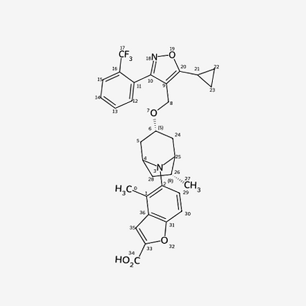 Cc1c(N2C3C[C@H](OCc4c(-c5ccccc5C(F)(F)F)noc4C4CC4)CC2[C@H](C)C3)ccc2oc(C(=O)O)cc12